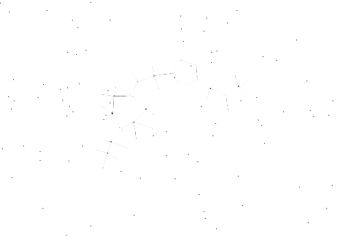 FC(N1C(F)(F)C(F)(F)N(C(F)(F)C(F)(F)F)C(F)(F)C1(F)F)C(F)(F)C1CCC(C(F)(F)C(F)C(F)(F)F)O1